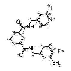 Bc1cc(CNC(=O)c2cc(C(=O)NCc3ccnc(Cl)c3)ncn2)ccc1F